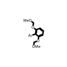 COCOc1cccc(OCOC)c1C(C)=O